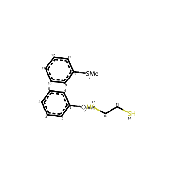 COc1ccccc1.CSc1ccccc1.SCCS